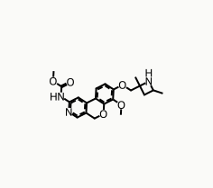 COC(=O)Nc1cc2c(cn1)COc1c-2ccc(OCC2(C)CC(C)N2)c1OC